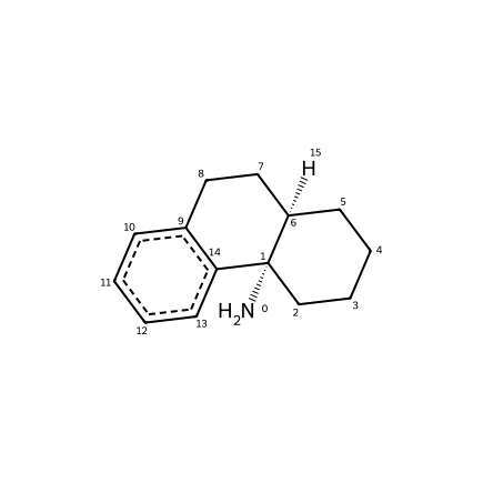 N[C@@]12CCCC[C@@H]1CCc1ccccc12